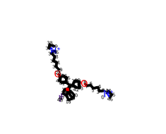 C[N+]1(CCCCCCOc2ccc(C(=C3C4CC5CC(C4)CC3C5)c3ccc(OCCCCCC[N+]4(C)CCC4)cc3)cc2)CCC1.[I-].[I-]